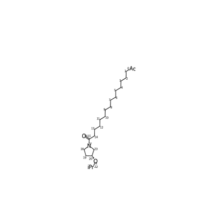 CC(=O)CCCCCCCCCCCCCCC(=O)N1CC[C@H](OC(C)C)C1